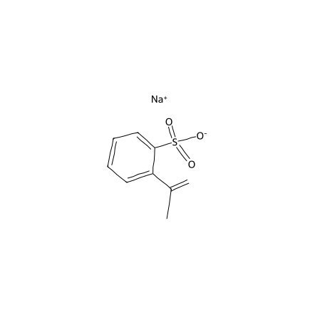 C=C(C)c1ccccc1S(=O)(=O)[O-].[Na+]